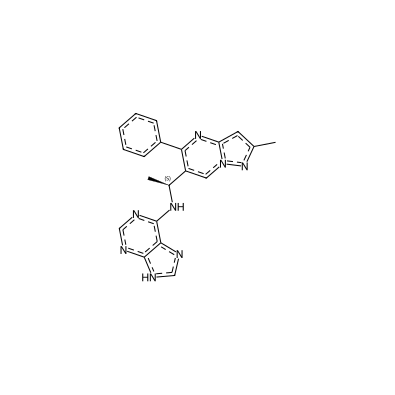 Cc1cc2nc(-c3ccccc3)c([C@H](C)Nc3ncnc4[nH]cnc34)cn2n1